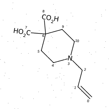 C=CCN1CCC(C(=O)O)(C(=O)O)CC1